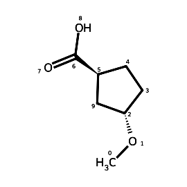 CO[C@H]1CC[C@H](C(=O)O)C1